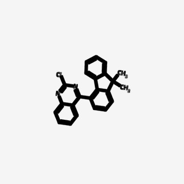 CC1(C)c2ccccc2-c2c(-c3nc(Cl)nc4ccccc34)cccc21